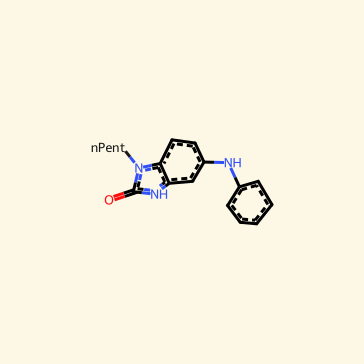 CCCCCn1c(=O)[nH]c2cc(Nc3ccccc3)ccc21